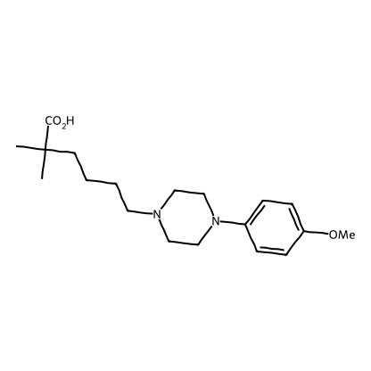 COc1ccc(N2CCN(CCCCC(C)(C)C(=O)O)CC2)cc1